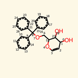 OC1C=COC(COC(c2ccccc2)(c2ccccc2)c2ccccc2)C1O